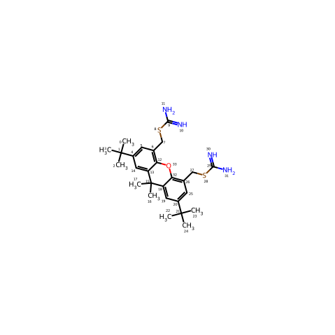 CC(C)(C)c1cc(CSC(=N)N)c2c(c1)C(C)(C)c1cc(C(C)(C)C)cc(CSC(=N)N)c1O2